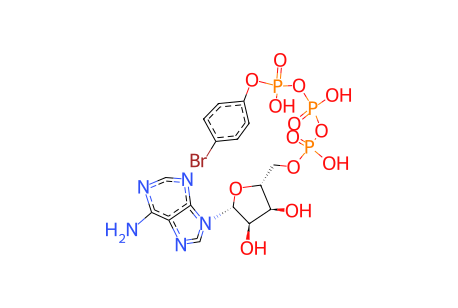 Nc1ncnc2c1ncn2[C@@H]1O[C@H](COP(=O)(O)OP(=O)(O)OP(=O)(O)Oc2ccc(Br)cc2)[C@@H](O)[C@H]1O